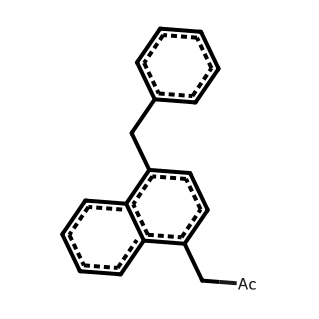 CC(=O)Cc1ccc(Cc2ccccc2)c2ccccc12